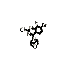 Fc1c(Br)ccc2c(N3C4COCC3C4)nc(Cl)nc12